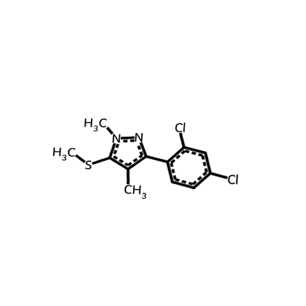 CSc1c(C)c(-c2ccc(Cl)cc2Cl)nn1C